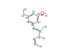 C/C=C\C(C)/C(F)=C/c1cc(CC)cc(OC)c1